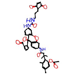 CC(=O)Oc1cc(C)cc(C)c1C(C)(C)CC(=O)Nc1ccc2c(c1)Oc1cc(NC(=O)NCCCC3C(=O)C=CC3=O)ccc1C21OC(=O)c2ccccc21